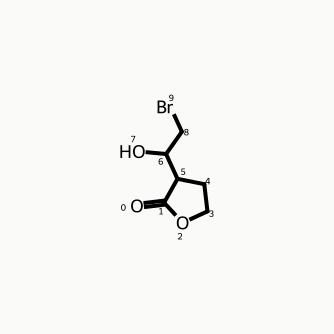 O=C1OCCC1C(O)CBr